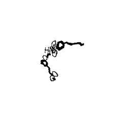 CCCCCc1ccc(S(=O)(=O)NCCCOc2cccc(CCC(=O)OC)c2)cc1